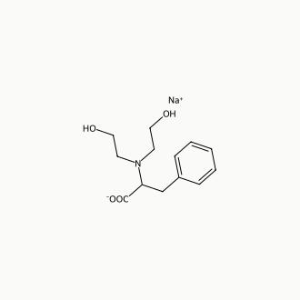 O=C([O-])C(Cc1ccccc1)N(CCO)CCO.[Na+]